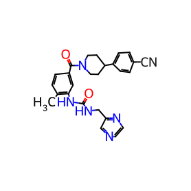 Cc1ccc(C(=O)N2CCC(c3ccc(C#N)cc3)CC2)cc1NC(=O)NCc1cnccn1